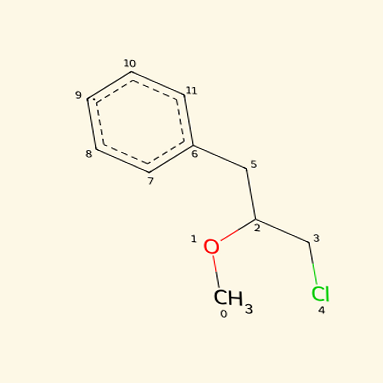 COC(CCl)Cc1cc[c]cc1